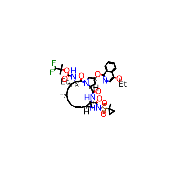 CCOc1cnc(O[C@@H]2C[C@H]3C(=O)N[C@]4(C(=O)NS(=O)(=O)C5(C)CC5)C[C@H]4C=CCC[C@H](C)C[C@@H](CC)[C@H](NC(=O)OC(C)(C)C(F)F)C(=O)N3C2)c2ccccc12